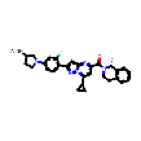 CC(=O)NC1CCN(c2ccc(-c3cc4nc(C(=O)N5CCc6ccccc6[C@H]5C)cc(C5CC5)n4n3)c(F)c2)C1